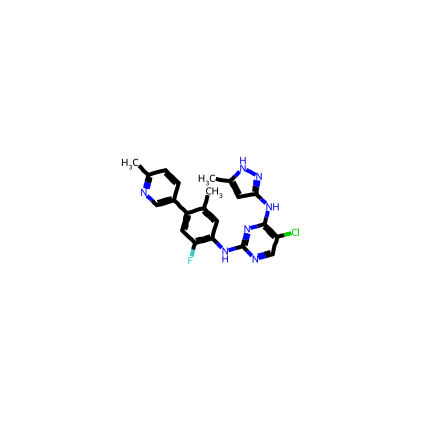 Cc1ccc(-c2cc(F)c(Nc3ncc(Cl)c(Nc4cc(C)[nH]n4)n3)cc2C)cn1